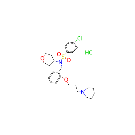 Cl.O=S(=O)(c1ccc(Cl)cc1)N(Cc1ccccc1OCCCN1CCCCC1)C1CCOCC1